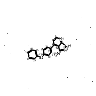 Nc1n[nH]c2nccc(-c3ccc(Oc4ccccc4)cc3)c12